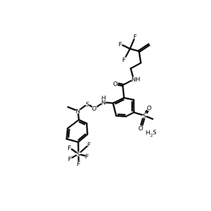 C=C(CCNC(=O)c1cc(S(C)(=O)=O)ccc1NOSN(C)c1ccc(S(F)(F)(F)(F)F)cc1)C(F)(F)F.S